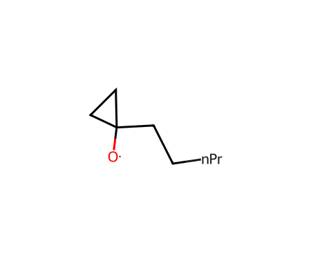 CCCCCC1([O])CC1